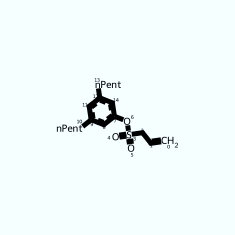 C=CCS(=O)(=O)Oc1cc(CCCCC)cc(CCCCC)c1